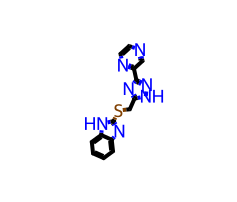 c1ccc2[nH]c(SCc3nc(-c4cnccn4)n[nH]3)nc2c1